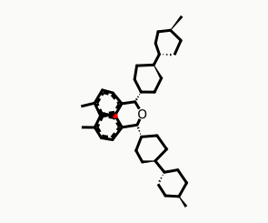 Cc1ccc(C(OC(c2ccc(C)cc2)[C@H]2CC[C@H]([C@H]3CC[C@H](C)CC3)CC2)[C@H]2CC[C@H]([C@H]3CC[C@H](C)CC3)CC2)cc1